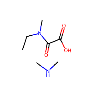 CCN(C)C(=O)C(=O)O.CNC